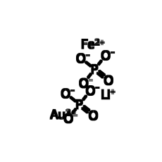 O=P([O-])([O-])[O-].O=P([O-])([O-])[O-].[Au+3].[Fe+2].[Li+]